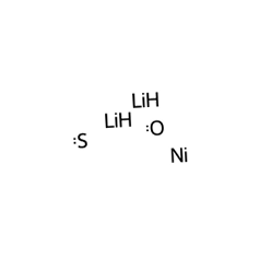 [LiH].[LiH].[Ni].[O].[S]